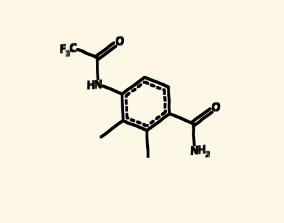 Cc1c(NC(=O)C(F)(F)F)ccc(C(N)=O)c1C